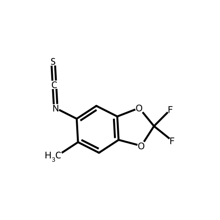 Cc1cc2c(cc1N=C=S)OC(F)(F)O2